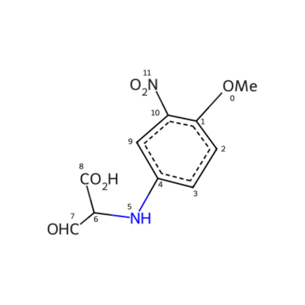 COc1ccc(NC(C=O)C(=O)O)cc1[N+](=O)[O-]